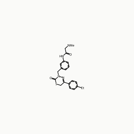 CCc1ccc(C2=NN(Cc3cccc(NC(=O)CNC)c3)C(=O)SC2)cc1